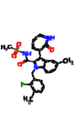 Cc1ccc2c(c1)c(-c1ccc[nH]c1=O)c(C(=O)NS(C)(=O)=O)n2Cc1cccc(C)c1F